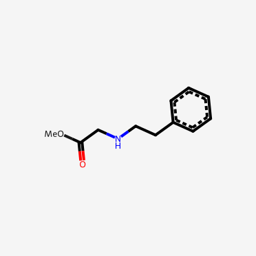 COC(=O)CNCCc1ccccc1